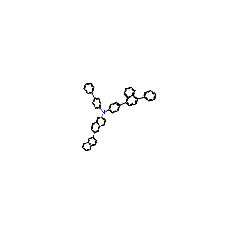 c1ccc(-c2ccc(N(c3ccc(-c4ccc(-c5ccccc5)c5ccccc45)cc3)c3ccc4cc(-c5ccc6ccccc6c5)ccc4c3)cc2)cc1